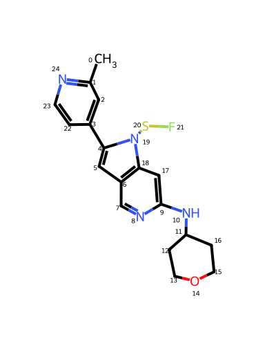 Cc1cc(-c2cc3cnc(NC4CCOCC4)cc3n2SF)ccn1